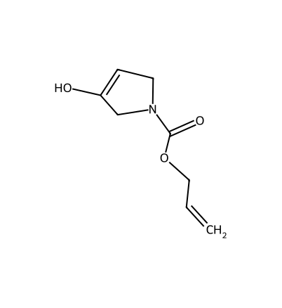 C=CCOC(=O)N1CC=C(O)C1